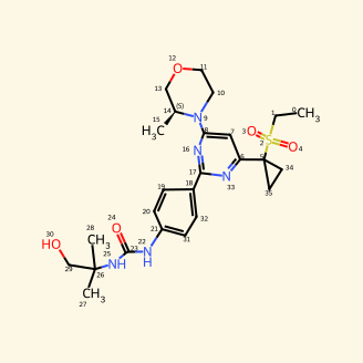 CCS(=O)(=O)C1(c2cc(N3CCOC[C@@H]3C)nc(-c3ccc(NC(=O)NC(C)(C)CO)cc3)n2)CC1